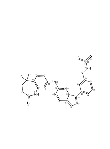 CC1(C)CCC(=O)Nc2cc(Nc3ncc4ccc(-c5cccc(CN[SH](=O)=O)c5)n4n3)ccc21